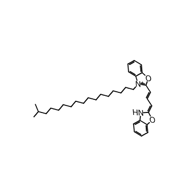 CC(C)CCCCCCCCCCCCCCC[n+]1c(C=CC=C2Nc3ccccc3O2)oc2ccccc21